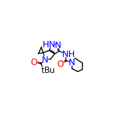 CC(C)(C)C(=O)N1Cc2c(NC(=O)N3CCCCC3)n[nH]c2C12CC2